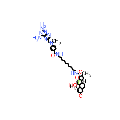 C[C@@H]1C[C@H]2C3CCC4=CC(=O)C=C[C@]4(C)[C@@]3(F)[C@@H](O)C[C@@]23O[C@]13C(=O)NCCCCCCCCCCNC(=O)c1ccc(N(C)Cc2cnc3nc(N)nc(N)c3n2)cc1